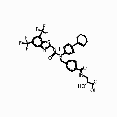 O=C(NC[C@@H](O)C(=O)O)c1ccc(CN(C(=O)Nc2nc3cc(C(F)(F)F)cc(C(F)(F)F)c3s2)c2ccc(C3=CCCCC3)cc2)cc1